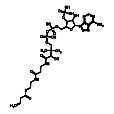 C=CCC(=O)SCCNC(=O)CCNC(=O)C(O)C(C)(C)COP(=O)(O)OP(=O)(O)OCC1OC(n2cnc3c(N)ncnc32)C(O)C1OP(=O)(O)O